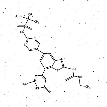 CCNC(=O)Nc1nc2cc(-c3cnc(NS(=O)(=O)C(C)(C)C)nc3)cc(-c3cc(C)[nH]c(=O)c3)c2s1